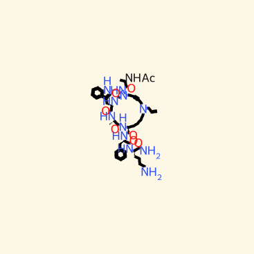 C=CCN1CC#CCN(NC(=O)[C@H](C)NC(C)=O)C(=O)N[C@H](Cc2c[nH]c3ccccc23)C(=O)N[C@@H](C)C(=O)N[C@H](C(=O)N[C@H](Cc2ccccc2)C(=O)N[C@@H](CCCCN)C(N)=O)CCCC1